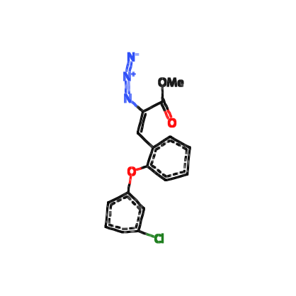 COC(=O)/C(=C\c1ccccc1Oc1cccc(Cl)c1)N=[N+]=[N-]